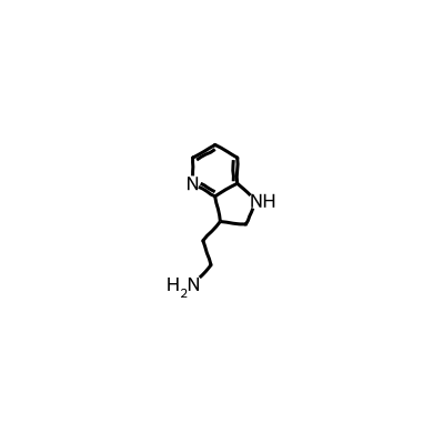 NCCC1CNc2cccnc21